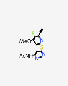 C#Cc1nc(Sc2cc(NC(C)=O)ncn2)cc(OC)c1F